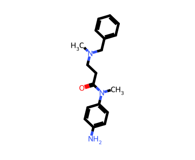 CN(CCC(=O)N(C)c1ccc(N)cc1)Cc1ccccc1